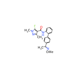 CON=C(C)c1ccc(-c2ccccc2NC(=O)c2c(C)nn(C)c2F)cc1